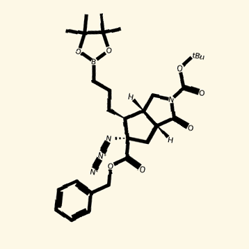 CC(C)(C)OC(=O)N1C[C@@H]2[C@@H](C[C@@](N=[N+]=[N-])(C(=O)OCc3ccccc3)[C@H]2CCCB2OC(C)(C)C(C)(C)O2)C1=O